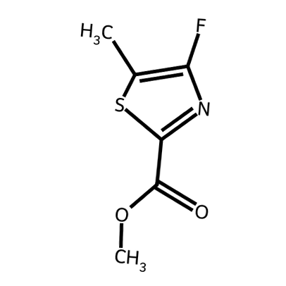 COC(=O)c1nc(F)c(C)s1